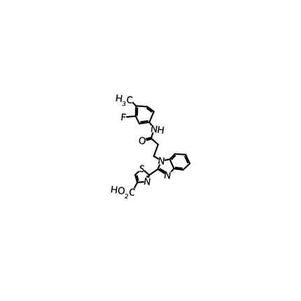 Cc1ccc(NC(=O)CCn2c(-c3nc(C(=O)O)cs3)nc3ccccc32)cc1F